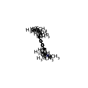 COO/C=N/[C@@H](C(=O)N[C@@H](c1ncc(-c2ccc(-c3ccc(-c4cnc([C@H](NC(=O)[C@H](NC(=O)OC)C(C)C)C(C)C)[nH]4)cc3)cc2)[nH]1)C(C)C)C(C)C